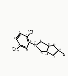 CCc1ccc(Cl)c(N2CC3CC(C)CC3C2)c1